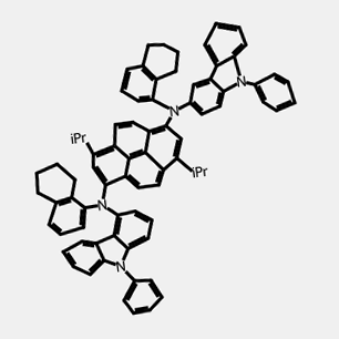 CC(C)c1cc(N(c2ccc3c(c2)c2ccccc2n3-c2ccccc2)c2cccc3c2CCCC3)c2ccc3c(C(C)C)cc(N(c4cccc5c4CCCC5)c4cccc5c4c4ccccc4n5-c4ccccc4)c4ccc1c2c34